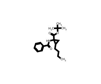 CCCCC1CC1(NC(=O)c1ccccc1)C(=O)OC(C)(C)C